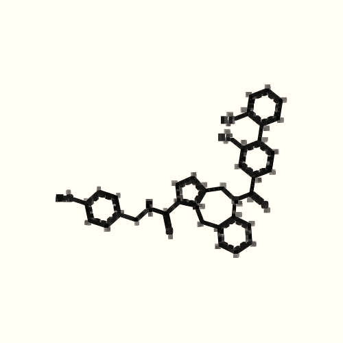 COc1ccc(CNC(=O)c2ccc3n2Cc2ccccc2N(C(=O)c2ccc(-c4ccccc4C)c(C)c2)C3)cc1